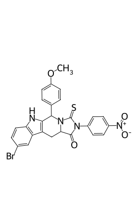 COc1ccc(C2c3[nH]c4ccc(Br)cc4c3CC3C(=O)N(c4ccc([N+](=O)[O-])cc4)C(=S)N32)cc1